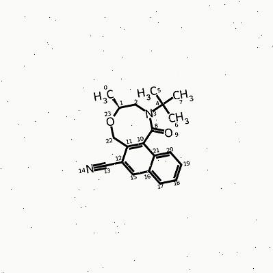 C[C@H]1CN(C(C)(C)C)C(=O)c2c(c(C#N)cc3ccccc23)CO1